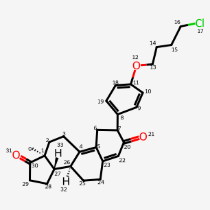 C[C@]12CCC3=C4CC(c5ccc(OCCCCCl)cc5)C(=O)C=C4CC[C@H]3[C@@H]1CCC2=O